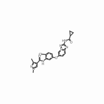 Cc1nn(C)cc1C(=O)Nc1cc(Oc2ccc3nc(NC(=O)C4CC4)nn3c2)ccc1Cl